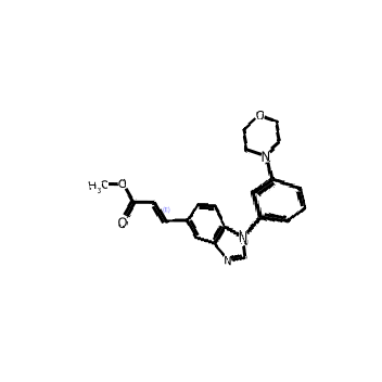 COC(=O)/C=C/c1ccc2c(c1)ncn2-c1cccc(N2CCOCC2)c1